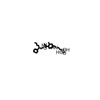 CCCC/C(=C\c1nnc(-c2ccc(CNCCCP(=O)(O)O)cc2C)o1)c1ccccc1